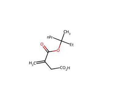 C=C(CC(=O)O)C(=O)OC(C)(CC)CCC